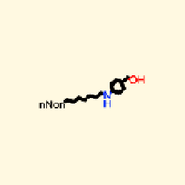 CCCCCCCCCCCCCCCCNc1ccc(CO)cc1